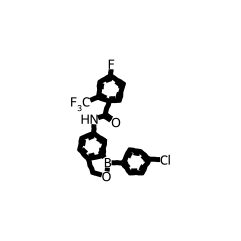 O=C(Nc1ccc2c(c1)B(c1ccc(Cl)cc1)OC2)c1ccc(F)cc1C(F)(F)F